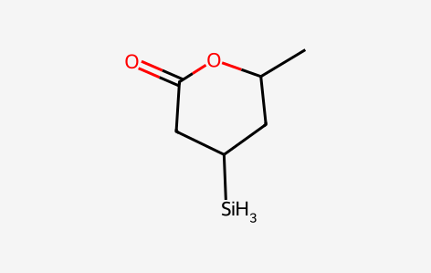 CC1CC([SiH3])CC(=O)O1